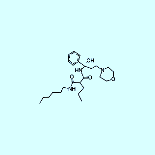 CCCCCCNC(=O)C(CCC)C(=O)N[C@](O)(CCN1CCOCC1)c1ccccc1